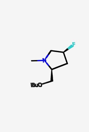 CC(C)COC[C@@H]1C[C@H](F)CN1C